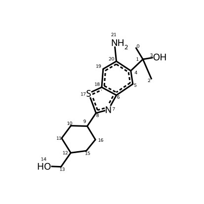 CC(C)(O)c1cc2nc(C3CCC(CO)CC3)sc2cc1N